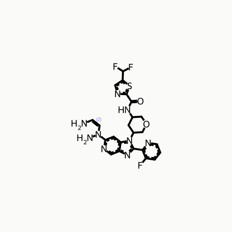 N/C=C\N(N)c1cc2c(cn1)nc(-c1ncccc1F)n2C1COCC(NC(=O)c2ncc(C(F)F)s2)C1